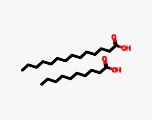 CCCCCCCCCC(=O)O.CCCCCCCCCCCCCC(=O)O